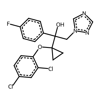 OC(Cn1cncn1)(c1ccc(F)cc1)C1(Oc2ccc(Cl)cc2Cl)CC1